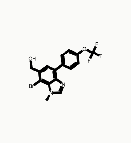 Cn1cnc2c(-c3ccc(OC(F)(F)F)cc3)cc(CO)c(Br)c21